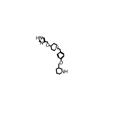 c1nc(COC2CCN(Cc3ccc(OCC4CCCNC4)cc3)CC2)c[nH]1